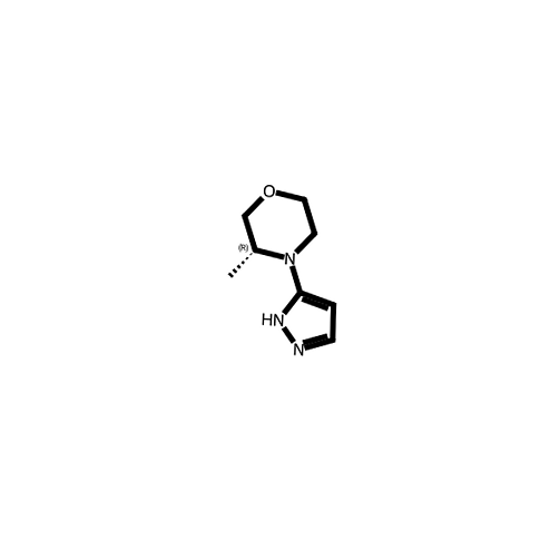 C[C@@H]1COCCN1c1ccn[nH]1